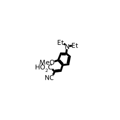 CCN(CC)c1ccc(C=C(C#N)C(=O)O)c(OC)c1